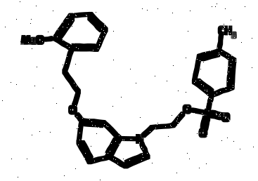 COc1ccccc1CCOc1ccc2ccn(CCOS(=O)(=O)c3ccc(C)cc3)c2c1